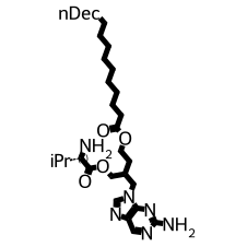 CCCCCCCCCCCCCCCCCCCC(=O)OCCC(COC(=O)[C@@H](N)C(C)C)Cn1cnc2cnc(N)nc21